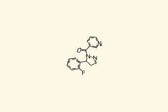 O=C(c1cccnc1)N1N=CCC1c1ccccc1F